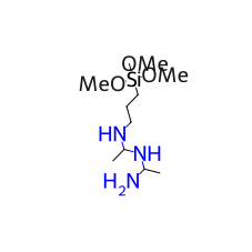 CO[Si](CCCNC(C)NC(C)N)(OC)OC